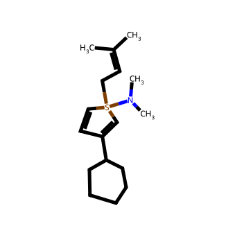 CC(C)=CCS1(N(C)C)C=CC(C2CCCCC2)=C1